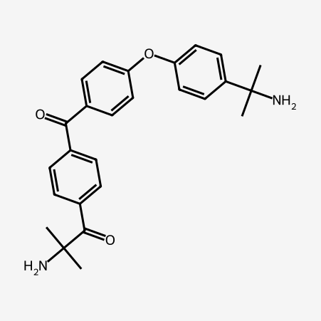 CC(C)(N)C(=O)c1ccc(C(=O)c2ccc(Oc3ccc(C(C)(C)N)cc3)cc2)cc1